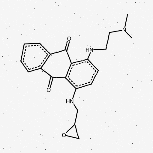 CN(C)CCNc1ccc(NCC2CO2)c2c1C(=O)c1ccccc1C2=O